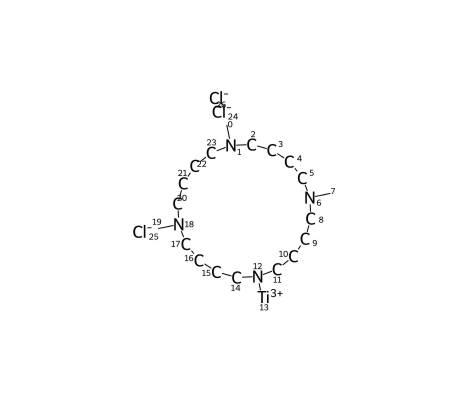 CN1CCCCN(C)CCCC[N]([Ti+3])CCCCN(C)CCCC1.[Cl-].[Cl-].[Cl-]